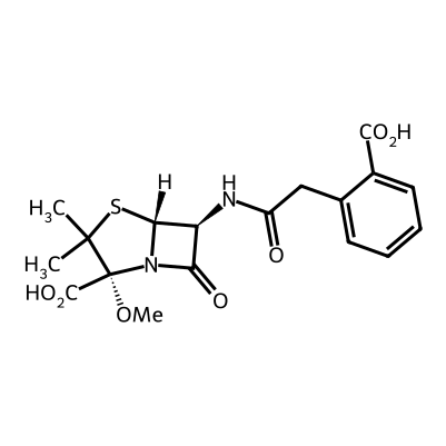 CO[C@@]1(C(=O)O)N2C(=O)[C@H](NC(=O)Cc3ccccc3C(=O)O)[C@H]2SC1(C)C